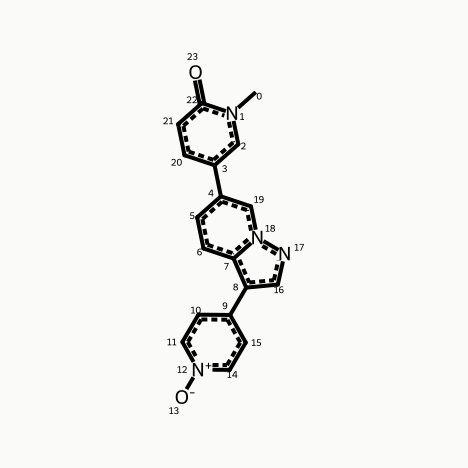 Cn1cc(-c2ccc3c(-c4cc[n+]([O-])cc4)cnn3c2)ccc1=O